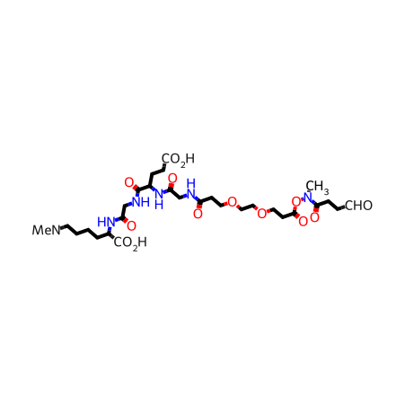 CNCCCCC(NC(=O)CNC(=O)C(CCC(=O)O)NC(=O)CNC(=O)CCOCCOCCC(=O)ON(C)C(=O)CCC=O)C(=O)O